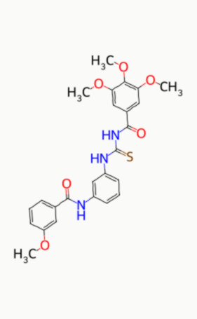 COc1cccc(C(=O)Nc2cccc(NC(=S)NC(=O)c3cc(OC)c(OC)c(OC)c3)c2)c1